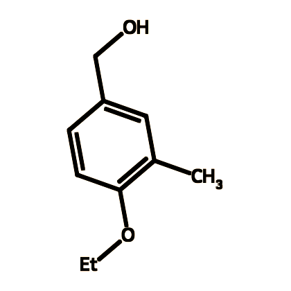 CCOc1ccc(CO)cc1C